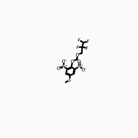 CSc1cc([N+](=O)[O-])c(OC(=O)OCC(F)(F)C(F)F)c([N+](=O)[O-])c1